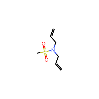 C=CCN(CC=C)S(C)(=O)=O